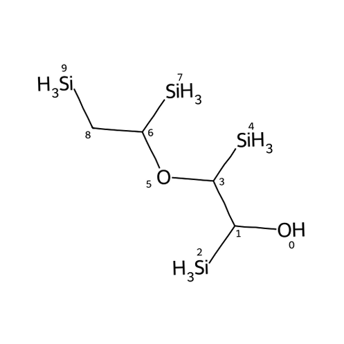 OC([SiH3])C([SiH3])OC([SiH3])C[SiH3]